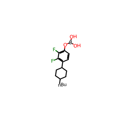 CCCCC1CCC(c2ccc(OB(O)O)c(F)c2F)CC1